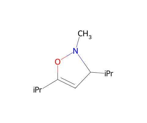 CC(C)C1=CC(C(C)C)N(C)O1